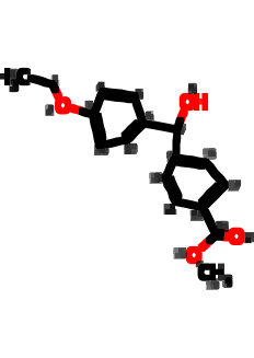 CCOc1ccc(C(O)c2ccc(C(=O)OC)cc2)cc1